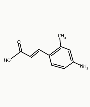 Cc1cc(N)ccc1C=CC(=O)O